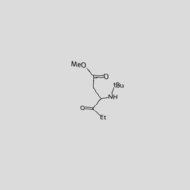 CCC(=O)C(CC(=O)OC)NC(C)(C)C